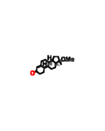 CO[C@@]1(C)CC[C@H]2[C@@H]3CCC4=CC(=O)CCC4=C3CC[C@@]21C